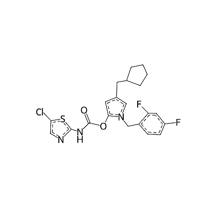 O=C(Nc1ncc(Cl)s1)Oc1cc(CC2CCCC2)cn1Cc1ccc(F)cc1F